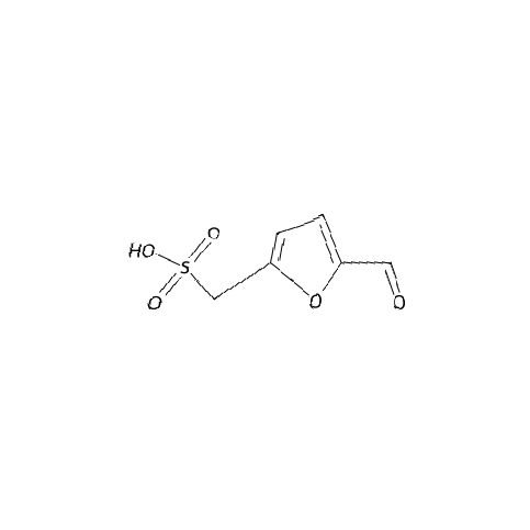 O=Cc1ccc(CS(=O)(=O)O)o1